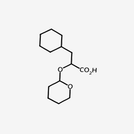 O=C(O)C(CC1CCCCC1)OC1CCCCO1